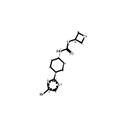 O=C(N[C@H]1CC[C@H](c2ncc(Br)s2)CC1)OC1COC1